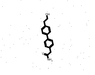 NC(=O)Cc1ccc(-c2ccc([CH]CO)cc2)cc1